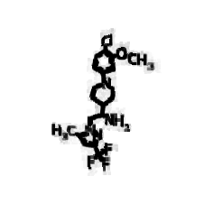 COc1cc(N2CCC(C(N)Cn3nc(C(F)(F)F)cc3C)CC2)ccc1Cl